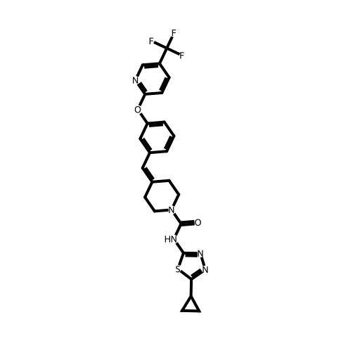 O=C(Nc1nnc(C2CC2)s1)N1CCC(=Cc2cccc(Oc3ccc(C(F)(F)F)cn3)c2)CC1